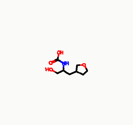 O=C(O)NC(CO)CC1CCOC1